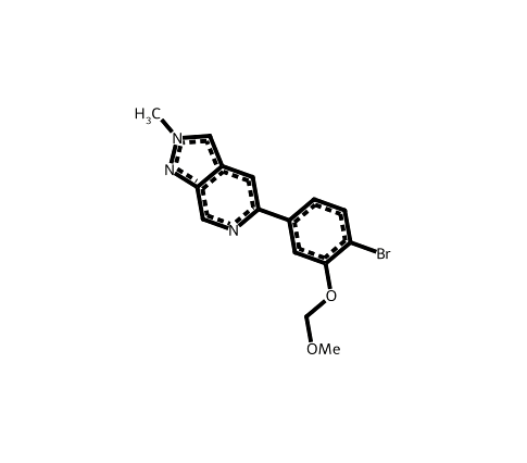 COCOc1cc(-c2cc3cn(C)nc3cn2)ccc1Br